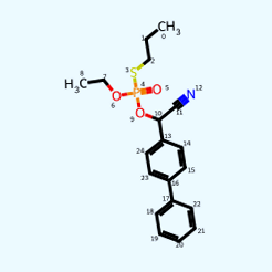 CCCSP(=O)(OCC)OC(C#N)c1ccc(-c2ccccc2)cc1